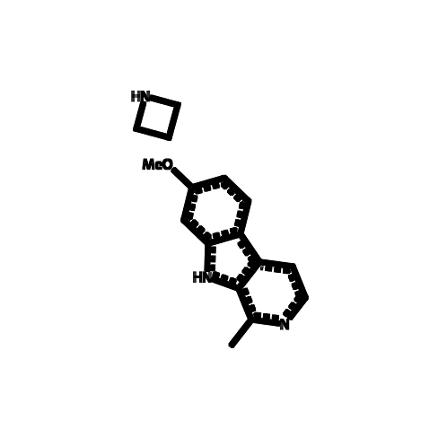 C1CNC1.COc1ccc2c(c1)[nH]c1c(C)nccc12